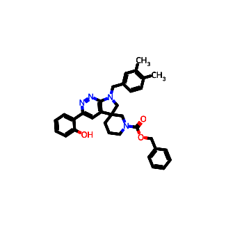 Cc1ccc(CN2CC3(CCCN(C(=O)OCc4ccccc4)C3)c3cc(-c4ccccc4O)nnc32)cc1C